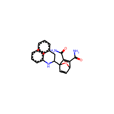 NC(=O)C1=C(C(N)=O)C2(C(Cc3ccccc3)Nc3ccccc3)C=CC1O2